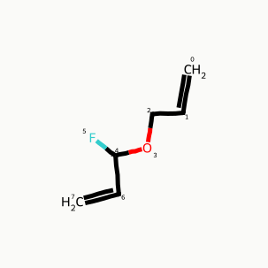 C=CCO[C](F)C=C